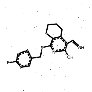 N=Cc1c(O)nc(SCc2ccc(F)cc2)c2c1CCCC2